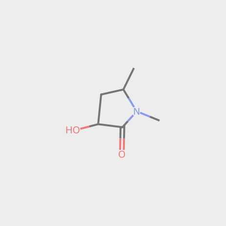 CC1CC(O)C(=O)N1C